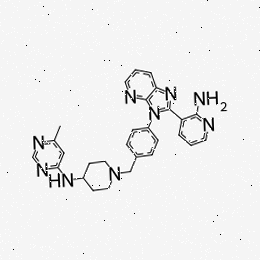 Cc1cc(NC2CCN(Cc3ccc(-n4c(-c5cccnc5N)nc5cccnc54)cc3)CC2)ncn1